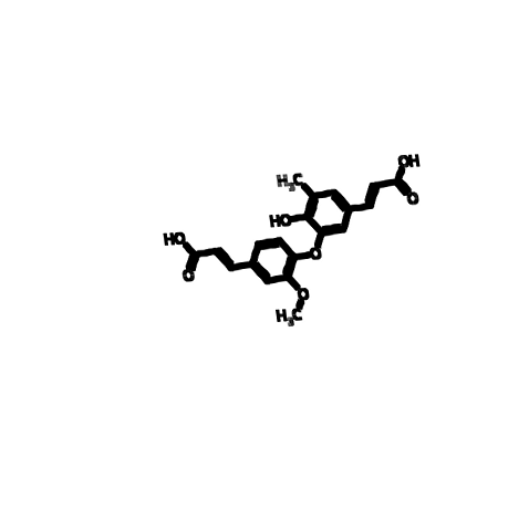 COc1cc(/C=C/C(=O)O)ccc1Oc1cc(/C=C/C(=O)O)cc(C)c1O